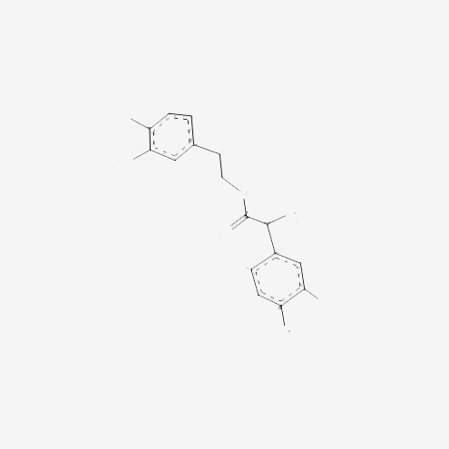 O=C(NCCc1ccc(O)c(O)c1)C(O)c1ccc(O)c(O)c1